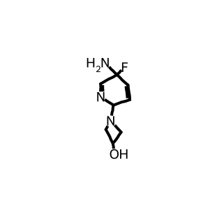 NC1(F)C=CC(N2CC(O)C2)N=C1